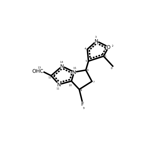 Cc1oncc1C1CC(F)c2nc(C=O)nn21